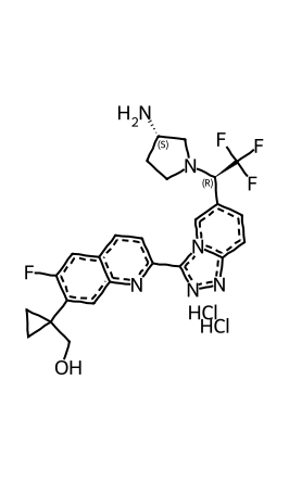 Cl.Cl.N[C@H]1CCN([C@H](c2ccc3nnc(-c4ccc5cc(F)c(C6(CO)CC6)cc5n4)n3c2)C(F)(F)F)C1